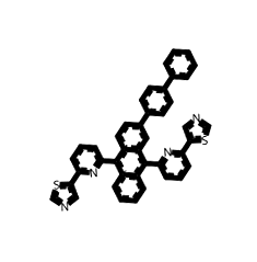 c1ccc(-c2ccc(-c3ccc4c(-c5cccc(-c6cncs6)n5)c5ccccc5c(-c5cccc(-c6cncs6)n5)c4c3)cc2)cc1